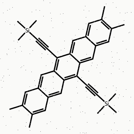 Cc1cc2cc3c(C#C[Si](C)(C)C)c4cc5cc(C)c(C)cc5cc4c(C#C[Si](C)(C)C)c3cc2cc1C